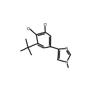 Cn1cnc(-c2cc(Cl)c(Cl)c(C(C)(C)C)c2)c1